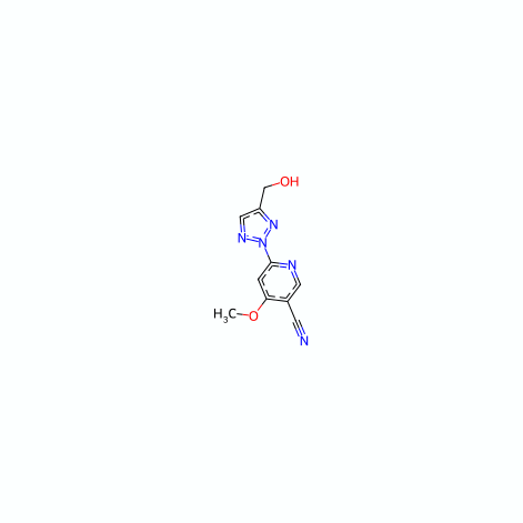 COc1cc(-n2ncc(CO)n2)ncc1C#N